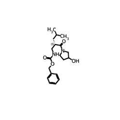 CC(C)C[C@@H](CNC(=O)OCc1ccccc1)C(=O)N1CCC(O)C1